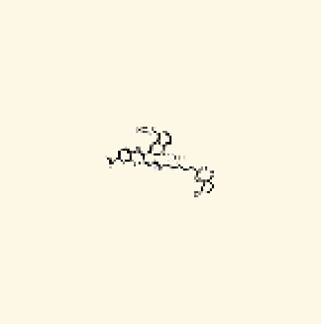 CN(C)c1ccc2nc3c4cc5c(S(=O)(=O)O)cccc5c(S(=O)(=O)O)c4/c(=N\CCCCCC(=O)ON4C(=O)CCC4=O)cc-3oc2c1